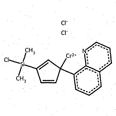 C[Si](C)(Cl)C1=C[C]([Cr+2])(c2cccc3cccnc23)C=C1.[Cl-].[Cl-]